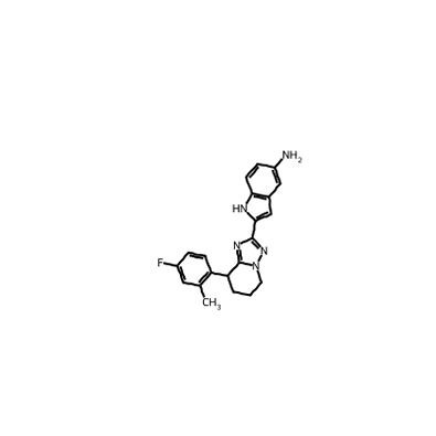 Cc1cc(F)ccc1C1CCCn2nc(-c3cc4cc(N)ccc4[nH]3)nc21